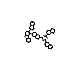 C1=CC(c2nc(-c3ccc4ccccc4c3)nc(-c3ccc4ccccc4c3)n2)CC2=C1CC(C1=C(c3ccc4ccccc4c3)CCc3oc4ccccc4c31)C=C2